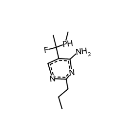 CCCc1ncc(C(C)(F)PC)c(N)n1